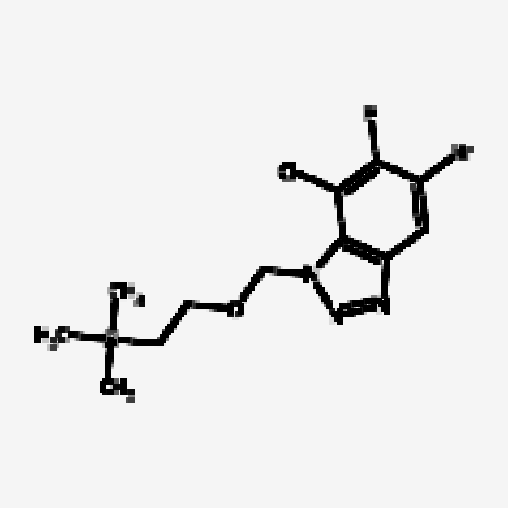 C[Si](C)(C)CCOCn1nnc2cc(Br)c(F)c(Cl)c21